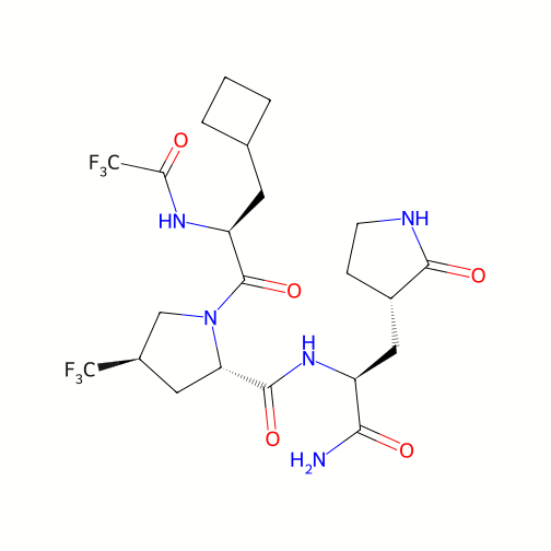 NC(=O)[C@H](C[C@@H]1CCNC1=O)NC(=O)[C@@H]1C[C@@H](C(F)(F)F)CN1C(=O)[C@H](CC1CCC1)NC(=O)C(F)(F)F